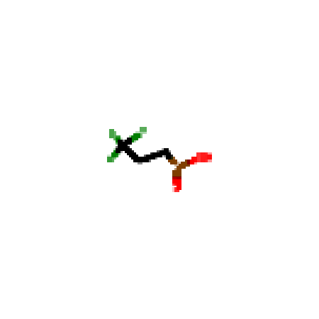 O=S(O)CCC(F)(F)F